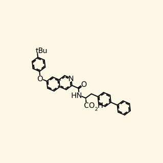 CC(C)(C)c1ccc(Oc2ccc3cc(C(=O)N[C@@H](Cc4ccc(-c5ccccc5)cc4)C(=O)O)ncc3c2)cc1